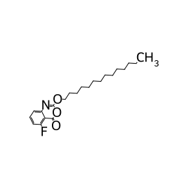 CCCCCCCCCCCCCCOc1nc2cccc(F)c2c(=O)o1